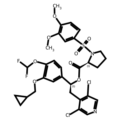 COc1ccc(S(=O)(=O)N2CCC[C@H]2C(=O)O[C@@H](Cc2c(Cl)cncc2Cl)c2ccc(OC(F)F)c(OCC3CC3)c2)cc1OC